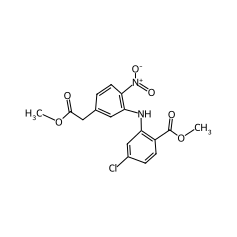 COC(=O)Cc1ccc([N+](=O)[O-])c(Nc2cc(Cl)ccc2C(=O)OC)c1